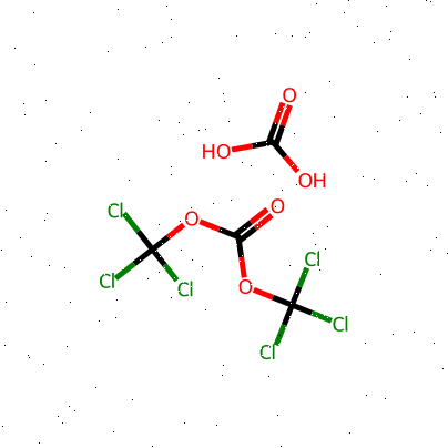 O=C(O)O.O=C(OC(Cl)(Cl)Cl)OC(Cl)(Cl)Cl